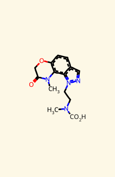 CN(CCn1ncc2ccc3c(c21)N(C)C(=O)CO3)C(=O)O